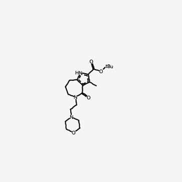 Cc1c(C(=O)OC(C)(C)C)[nH]c2c1C(=O)N(CCN1CCOCC1)CCC2